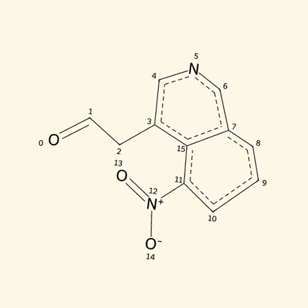 O=CCc1cncc2cccc([N+](=O)[O-])c12